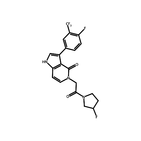 O=C(Cn1ccc2[nH]cc(-c3ccc(F)c(C(F)(F)F)c3)c2c1=O)N1CCC(F)C1